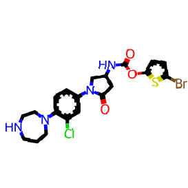 O=C(NC1CC(=O)N(c2ccc(N3CCCNCC3)c(Cl)c2)C1)Oc1ccc(Br)s1